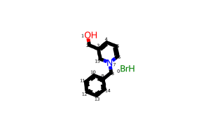 Br.OCC1=CC=CN(Cc2ccccc2)C1